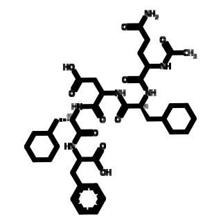 CC(=O)NC(CCC(N)=O)C(=O)N[C@@H](CC1CCCCC1)C(=O)NC(CC(=O)O)C(=O)N[C@@H](CC1CCCCC1)C(=O)NC(Cc1ccccc1)C(=O)O